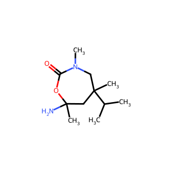 CC(C)C1(C)CN(C)C(=O)OC(C)(N)C1